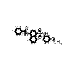 COc1cccc(NS(=O)(=O)c2ccc(NC(=O)c3ccccc3)c3ccccc23)c1